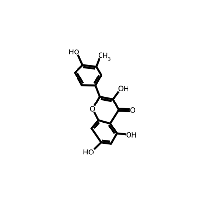 Cc1cc(-c2oc3cc(O)cc(O)c3c(=O)c2O)ccc1O